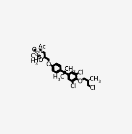 CC(=O)N(C[C@H](O)COc1ccc(C(C)(C)c2cc(Cl)c(OC[C@H](C)CCl)c(Cl)c2)cc1)S(C)(=O)=O